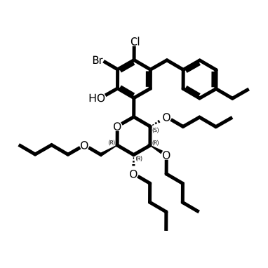 CCCCOC[C@H]1OC(c2cc(Cc3ccc(CC)cc3)c(Cl)c(Br)c2O)[C@H](OCCCC)[C@@H](OCCCC)[C@@H]1OCCCC